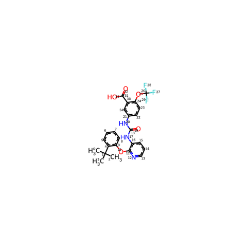 CC(C)(C)c1ccccc1Oc1ncccc1NC(=O)Nc1ccc(OC(F)(F)F)c(C(=O)O)c1